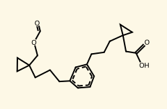 O=COCC1(CCCc2cccc(CCCC3(CC(=O)O)CC3)c2)CC1